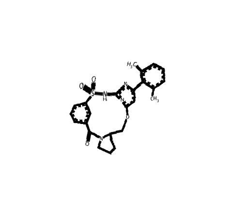 Cc1cccc(C)c1-c1cc2nc(n1)NS(=O)(=O)c1cccc(c1)C(=O)N1CCCC1CO2